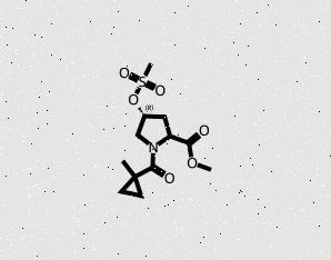 COC(=O)C1C[C@@H](OS(C)(=O)=O)CN1C(=O)C1(C)CC1